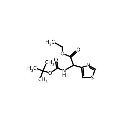 CCOC(=O)C(NC(=O)OC(C)(C)C)c1cscn1